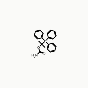 CC(C)(OC(N)=O)[P+](c1ccccc1)(c1ccccc1)c1ccccc1